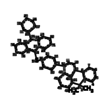 CC1(C)c2ccccc2-c2ccc(-c3ccc(Sc4c5ccccc5c(-c5ccccc5)c5ccccc45)cc3)c3cccc1c23